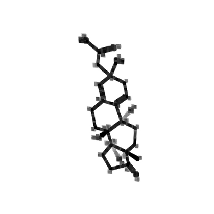 C[C@]12CC[C@@H]3C4=CCC(O)(CC(=O)O)C=C4CC[C@H]3[C@@H]1CCC2=O